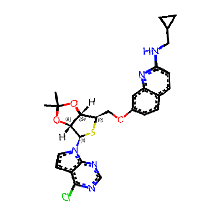 CC1(C)O[C@@H]2[C@H](O1)[C@@H](COc1ccc3ccc(NCC4CC4)nc3c1)S[C@H]2n1ccc2c(Cl)ncnc21